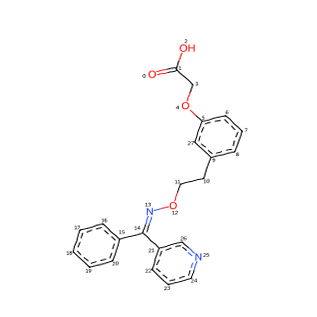 O=C(O)COc1cccc(CCO/N=C(/c2ccccc2)c2cccnc2)c1